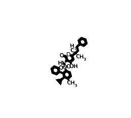 Cc1ccc(S(=O)(=O)Nc2c(O)cc(C(C)(C)CCc3ccccc3)oc2=O)c(-c2ccccc2)c1C1CC1